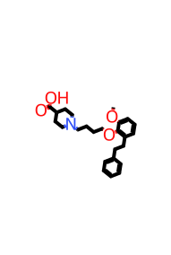 COc1cccc(CCc2ccccc2)c1OCCCCN1CCC(C(=O)O)CC1